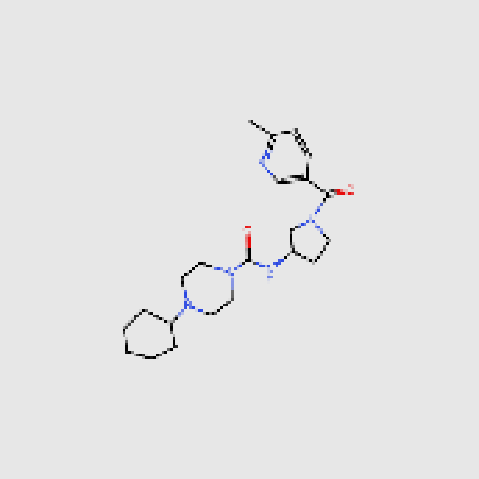 Cc1ccc(C(=O)N2CC[C@@H](NC(=O)N3CCN(C4CCCCC4)CC3)C2)cn1